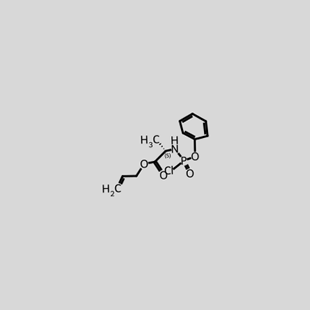 C=CCOC(=O)[C@H](C)NP(=O)(Cl)Oc1ccccc1